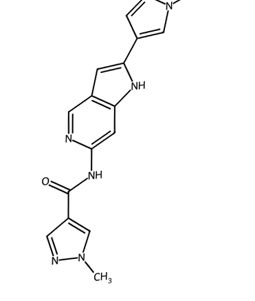 Cn1cc(C(=O)Nc2cc3[nH]c(-c4cnn(C)c4)cc3cn2)cn1